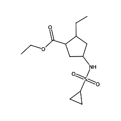 CCOC(=O)C1CC(NS(=O)(=O)C2CC2)CC1CC